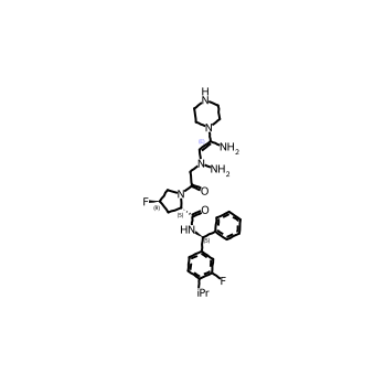 CC(C)c1ccc([C@@H](NC(=O)[C@@H]2C[C@@H](F)CN2C(=O)CN(N)/C=C(\N)N2CCNCC2)c2ccccc2)cc1F